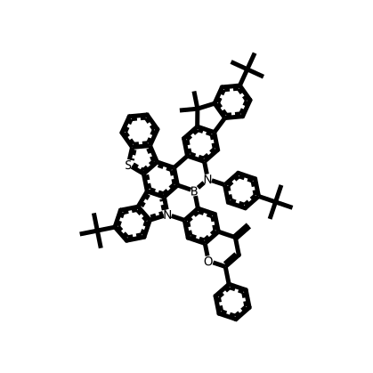 C=C1C=C(c2ccccc2)Oc2cc3c(cc21)B1c2c(c4c5ccccc5sc4c4c5cc(C(C)(C)C)ccc5n-3c24)-c2cc3c(cc2N1c1ccc(C(C)(C)C)cc1)-c1ccc(C(C)(C)C)cc1C3(C)C